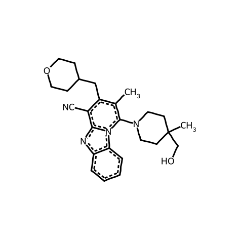 Cc1c(CC2CCOCC2)c(C#N)c2nc3ccccc3n2c1N1CCC(C)(CO)CC1